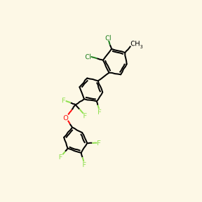 Cc1ccc(-c2ccc(C(F)(F)Oc3cc(F)c(F)c(F)c3)c(F)c2)c(Cl)c1Cl